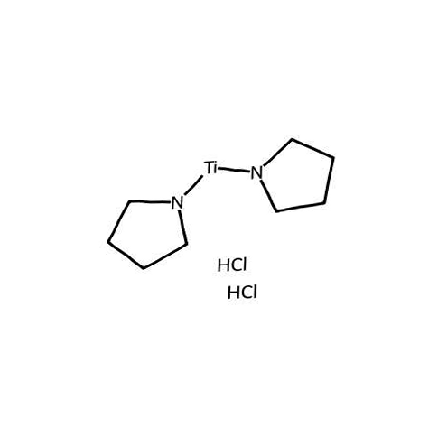 C1CC[N]([Ti][N]2CCCC2)C1.Cl.Cl